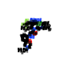 CCN1CCOc2c(cccc2NCC(=O)N(CCN(C)C)C(C)c2c(C(F)(F)F)n[nH]c2Cl)C1